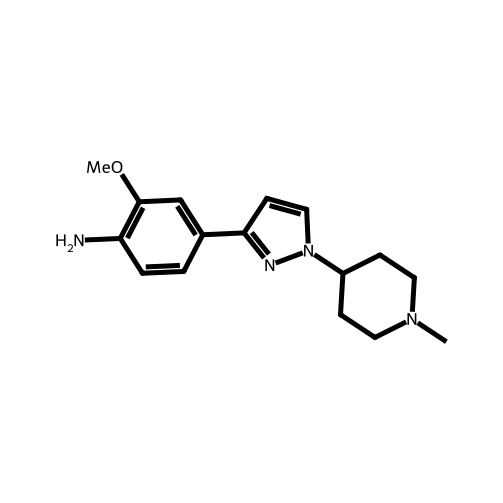 COc1cc(-c2ccn(C3CCN(C)CC3)n2)ccc1N